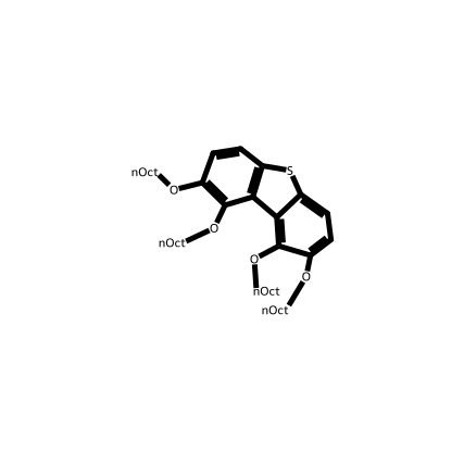 CCCCCCCCOc1ccc2sc3ccc(OCCCCCCCC)c(OCCCCCCCC)c3c2c1OCCCCCCCC